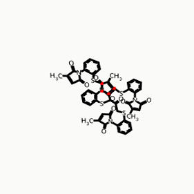 CC1=CC(=O)N(c2ccccc2SC=C(CCSc2ccccc2N2C(=O)C=C(C)C2=O)C(Sc2ccccc2N2C(=O)C=C(C)C2=O)C(=O)CSc2ccccc2N2C(=O)C=C(C)C2=O)C1=O